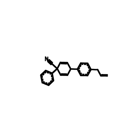 C=CCc1ccc(C2C=CC(C#N)(c3ccccc3)C=C2)cc1